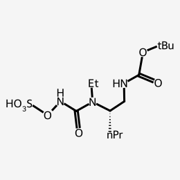 CCC[C@@H](CNC(=O)OC(C)(C)C)N(CC)C(=O)NOS(=O)(=O)O